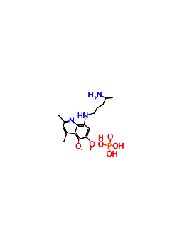 COc1cc(NCCCC(C)N)c2nc(C)cc(C)c2c1OC.O=P(O)(O)O